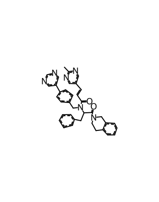 Cc1ncc(C=CC(=O)N(Cc2ccc(-c3cncnc3)cc2)C(Cc2ccccc2)C(=O)N2CCc3ccccc3C2)cn1